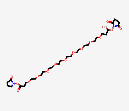 O=C(CCOCCOCCOCCOCCOCCOCCOCCOCCOCCC(O)ON1C(=O)CCC1=O)ON1CCCC1=O